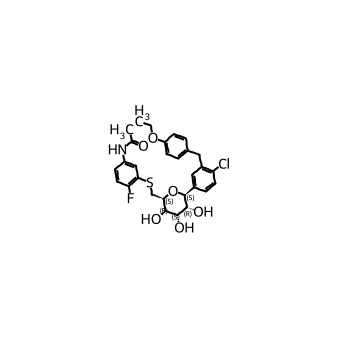 CCOc1ccc(Cc2cc([C@@H]3O[C@H](CSc4cc(NC(C)=O)ccc4F)[C@H](O)[C@@H](O)[C@H]3O)ccc2Cl)cc1